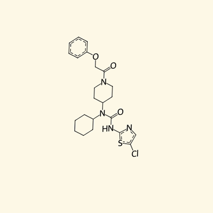 O=C(COc1ccccc1)N1CCC(N(C(=O)Nc2ncc(Cl)s2)C2CCCCC2)CC1